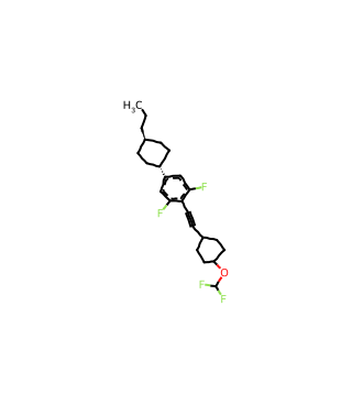 CCC[C@H]1CC[C@H](c2cc(F)c(C#CC3CCC(OC(F)F)CC3)c(F)c2)CC1